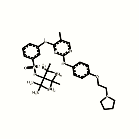 BC(B)(B)C(NS(=O)(=O)c1cccc(Nc2nc(Nc3ccc(OCCN4CCCC4)cc3)ncc2C)c1)(C(B)(B)C)C(B)(B)C